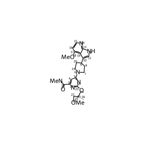 CNC(=O)c1cc(N2CCC(c3c[nH]c4nccc(OC)c34)CC2)nc(O[C@H](C)COC)n1